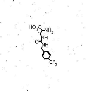 N[C@@H](CNC(=O)NCc1ccc(C(F)(F)F)cc1)C(=O)O